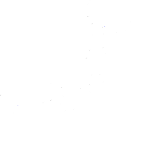 Cc1ccc(N(c2ccccc2)c2ccc3cc(-c4cc5cc(-c6ccc7cc(N(C8=CCC(C)C=C8)c8ccccc8)ccc7c6)c6c(c5c5ccccc45)C=CCC6)ccc3c2)cc1